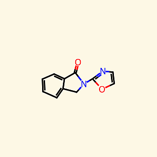 O=C1c2ccccc2CN1c1ncco1